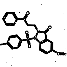 COc1ccc2c(c1)c(=O)n(CCC(=O)c1ccccc1)n2S(=O)(=O)c1ccc(C)cc1